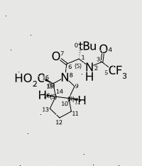 CC(C)(C)[C@H](NC(=O)C(F)(F)F)C(=O)N1C[C@@H]2CCC[C@@H]2[C@H]1C(=O)O